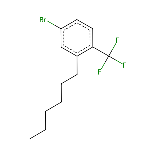 CCCCCCc1cc(Br)ccc1C(F)(F)F